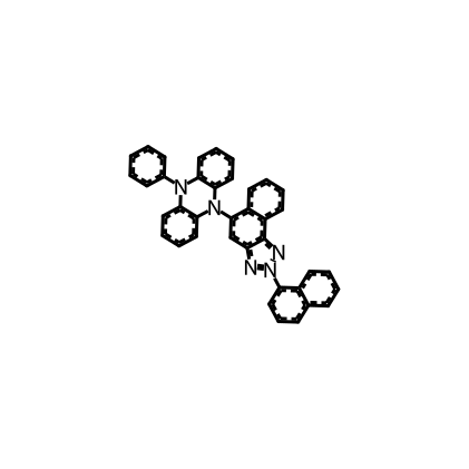 c1ccc(N2c3ccccc3N(c3cc4nn(-c5cccc6ccccc56)nc4c4ccccc34)c3ccccc32)cc1